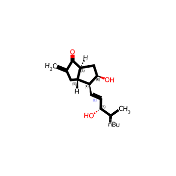 C=C1C[C@H]2[C@H](/C=C/[C@@H](O)C(C)CCCC)[C@H](O)C[C@@H]2C1=O